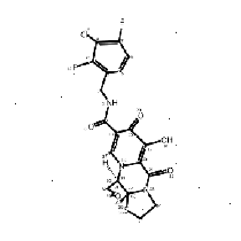 O=C(NCc1ccc(F)c(Cl)c1F)c1cn2c(c(O)c1=O)C(=O)N1CCS[C@@]13COCCC[C@@H]23